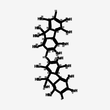 Cc1[c]([RaH])[c]([RaH])c2c([c]1[RaH])[C]([RaH])([RaH])c1[c]([RaH])c(Sc3[c]([RaH])[c]([RaH])c4c([c]3[RaH])[C]([RaH])([RaH])c3[c]([RaH])c(C)[c]([RaH])[c]([RaH])c3-4)[c]([RaH])[c]([RaH])c1-2